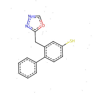 Sc1ccc(-c2ccccc2)c(Cc2nnco2)c1